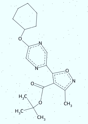 Cc1noc(-c2cnc(OC3CCCCC3)cn2)c1C(=O)OC(C)(C)C